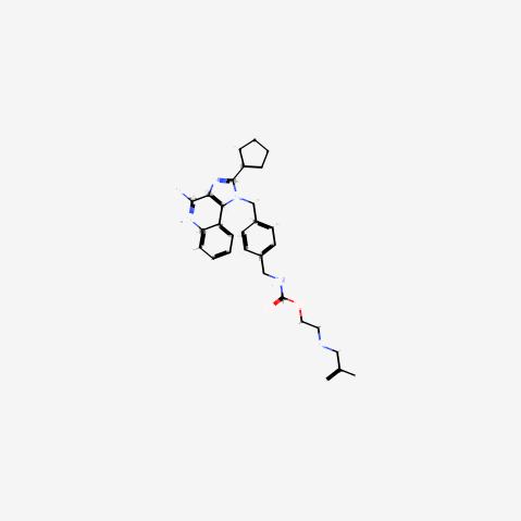 C=C(C)CNCCOC(=O)NCc1ccc(Cn2c(C3CCCC3)nc3c(N)nc4ccccc4c32)cc1